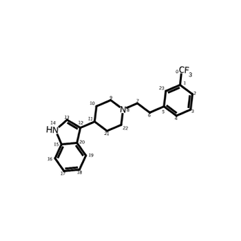 FC(F)(F)c1cccc(CCN2CCC(c3c[nH]c4ccccc34)CC2)c1